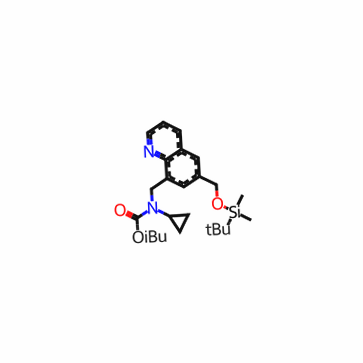 CC(C)COC(=O)N(Cc1cc(CO[Si](C)(C)C(C)(C)C)cc2cccnc12)C1CC1